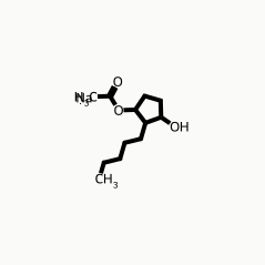 CCCCCC1C(O)CCC1OC(C)=O.[Na]